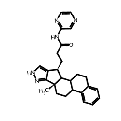 C[C@]12CCC3c4ccccc4CCC3C1[C@H](CCC(=O)Nc1cnccn1)c1c[nH]nc12